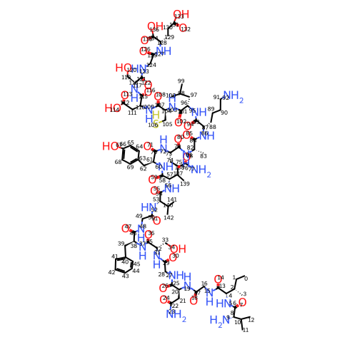 CC[C@H](C)[C@H](NC(=O)[C@@H](N)C(C)C)C(=O)NCC(=O)N[C@@H](CC(N)=O)C(=O)NCC(=O)N[C@@H](CO)C(=O)N[C@@H](Cc1ccccc1)C(=O)NCC(=O)N[C@H](C(=O)N[C@H](C(=O)N[C@@H](Cc1ccc(O)cc1)C(=O)N[C@@H](CCC(N)=O)C(=O)N[C@@H](C)C(=O)N[C@@H](CCCCN)C(=O)N[C@@H](CC(C)C)C(=O)N[C@@H](CS)C(=O)N[C@@H](CC(=O)O)C(=O)N[C@@H](CO)C(=O)NCC(=O)N[C@@H](CCC(=O)O)C(=O)O)C(C)C)C(C)C